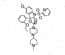 CCOc1ccccc1C1(OC(=O)N2CCN(C3CCN(C)CC3)CC2)C(=O)N(S(=O)(=O)c2ccccn2)c2ccc(OC)cc21